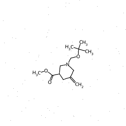 C=C1CC(C(=O)OC)CN(COC(C)(C)C)C1